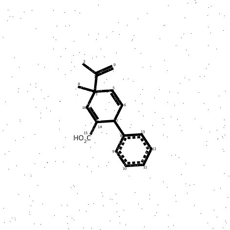 C=C(C)C1(C)C=CC(c2ccccc2)C(C(=O)O)=C1